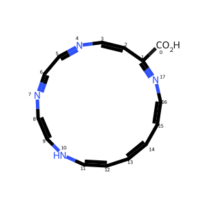 O=C(O)c1ccnccncc[nH]ccccccn1